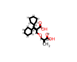 C=C(COCC(C(=O)O)=C(C1CCCCC1)C1CCCCC1)C(=O)O